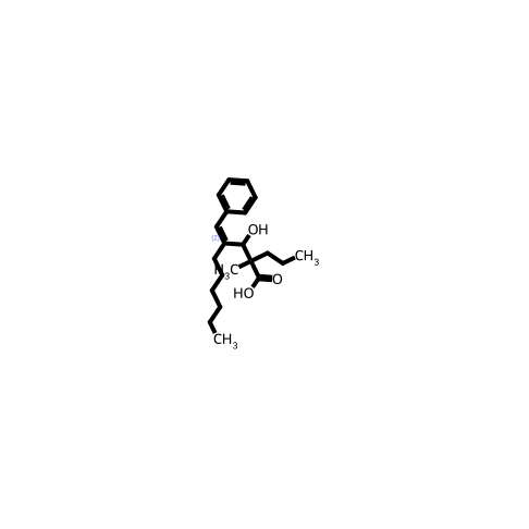 CCCCCC/C(=C/c1ccccc1)C(O)C(C)(CCC)C(=O)O